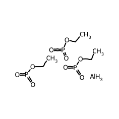 CCOP(=O)=O.CCOP(=O)=O.CCOP(=O)=O.[AlH3]